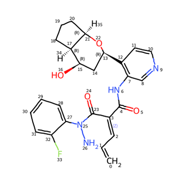 C=C/C=C(/C(=O)Nc1cnccc1[C@H]1C[C@@H](O)[C@H]2CCC[C@H]2O1)C(=O)N(N)c1ccccc1F